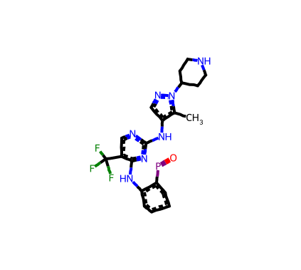 Cc1c(Nc2ncc(C(F)(F)F)c(Nc3ccccc3P=O)n2)cnn1C1CCNCC1